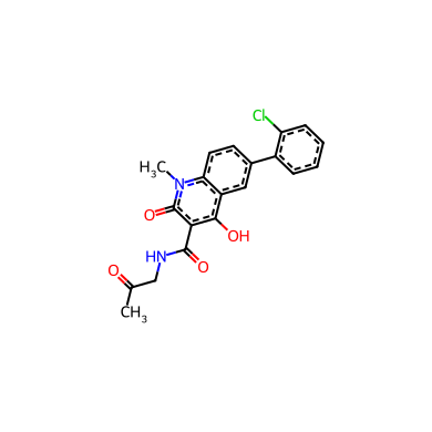 CC(=O)CNC(=O)c1c(O)c2cc(-c3ccccc3Cl)ccc2n(C)c1=O